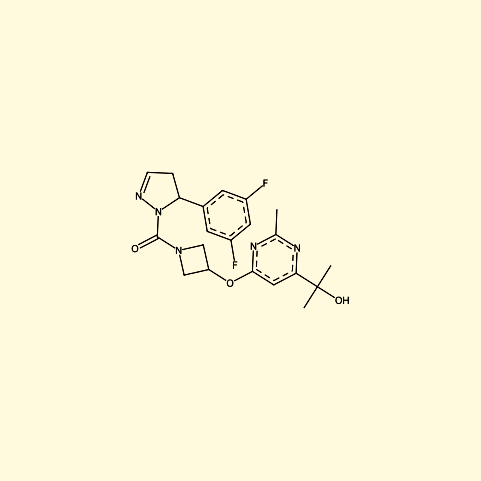 Cc1nc(OC2CN(C(=O)N3N=CCC3c3cc(F)cc(F)c3)C2)cc(C(C)(C)O)n1